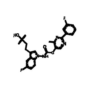 Cc1nc(-c2cccc(F)c2)ncc1OC(=O)Nn1cc(CCC(C)(C)O)c2cc(F)ccc21